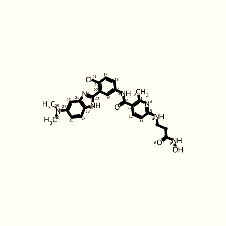 Cc1nc(NCCC(=O)NO)ccc1C(=O)Nc1ccc(Cl)c(-c2nc3cc(N(C)C)ccc3[nH]2)c1